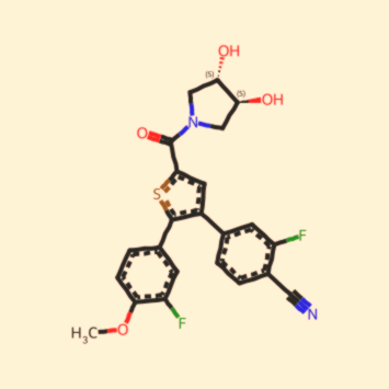 COc1ccc(-c2sc(C(=O)N3C[C@H](O)[C@@H](O)C3)cc2-c2ccc(C#N)c(F)c2)cc1F